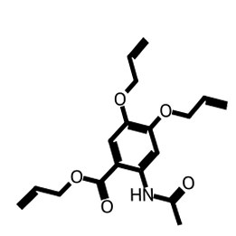 C=CCOC(=O)c1cc(OCC=C)c(OCC=C)cc1NC(C)=O